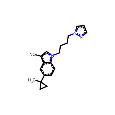 CC1(c2ccc3c(c2)c(C#N)cn3CCCCn2cccn2)CC1